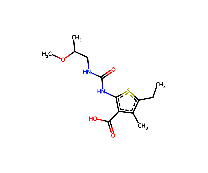 CCc1sc(NC(=O)NCC(C)OC)c(C(=O)O)c1C